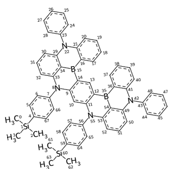 C[Si](C)(C)c1ccc(N2c3cc4c(cc3B3c5ccccc5N(c5ccccc5)c5cccc2c53)B2c3ccccc3N(c3ccccc3)c3cccc(c32)N4c2ccc([Si](C)(C)C)cc2)cc1